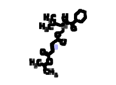 CC(C)OC(=O)/C=C/C(=O)OC[C@@H](NC(=O)C1CCCCC1)C(C)C